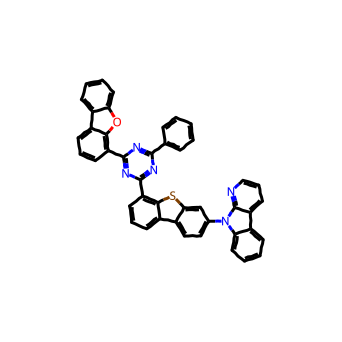 c1ccc(-c2nc(-c3cccc4c3oc3ccccc34)nc(-c3cccc4c3sc3cc(-n5c6ccccc6c6cccnc65)ccc34)n2)cc1